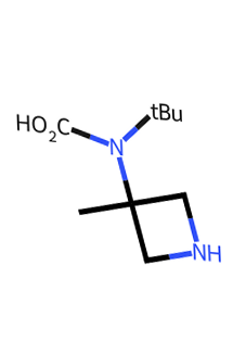 CC(C)(C)N(C(=O)O)C1(C)CNC1